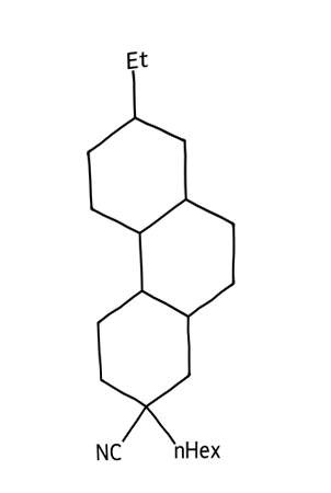 CCCCCCC1(C#N)CCC2C(CCC3CC(CC)CCC32)C1